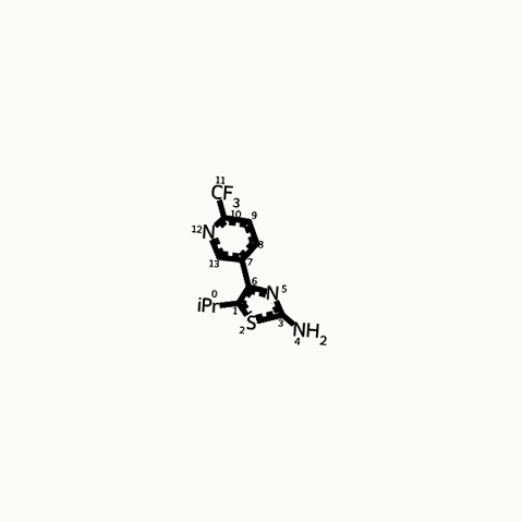 CC(C)c1sc(N)nc1-c1ccc(C(F)(F)F)nc1